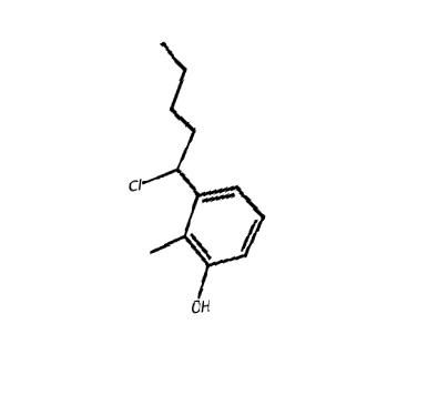 CCCCC(Cl)c1cccc(O)c1C